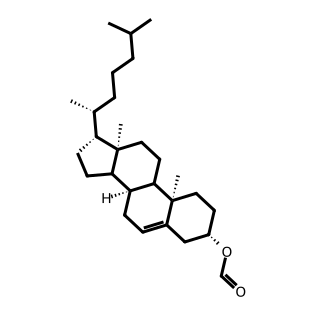 CC(C)CCC[C@@H](C)[C@H]1CCC2[C@@H]3CC=C4C[C@@H](OC=O)CC[C@]4(C)C3CC[C@@]21C